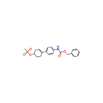 CS(=O)(=O)OC1CC=C(c2ccc(NC(=O)OCc3ccccc3)cc2)CC1